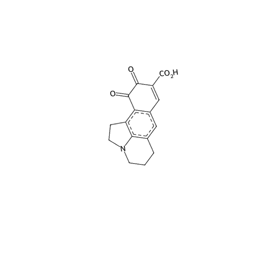 O=C(O)C1=Cc2cc3c4c(c2C(=O)C1=O)CCN4CCC3